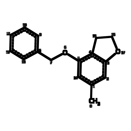 Cc1cc2c(c(OCc3ccccc3)c1)CCO2